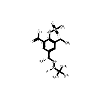 CCc1cc([C@@H](C)N[S@+]([O-])C(C)(C)C)cc(C(=O)O)c1NS(C)(=O)=O